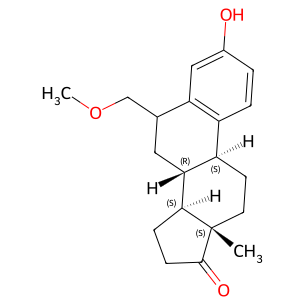 COCC1C[C@@H]2[C@H](CC[C@]3(C)C(=O)CC[C@@H]23)c2ccc(O)cc21